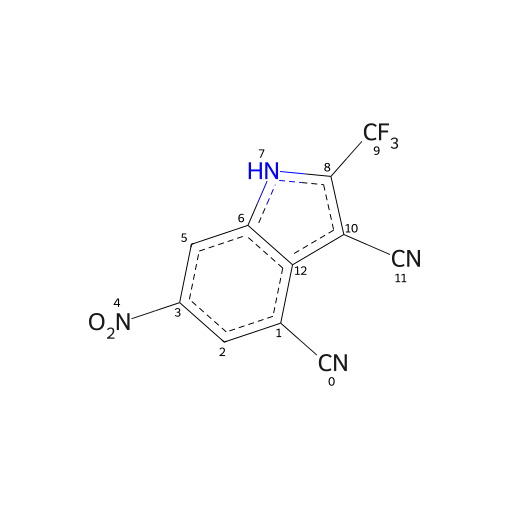 N#Cc1cc([N+](=O)[O-])cc2[nH]c(C(F)(F)F)c(C#N)c12